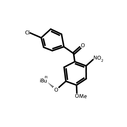 CC[C@@H](C)Oc1cc(C(=O)c2ccc(Cl)cc2)c([N+](=O)[O-])cc1OC